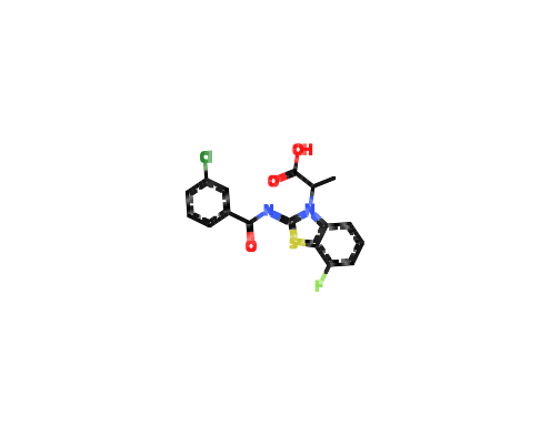 CC(C(=O)O)n1c(=NC(=O)c2cccc(Cl)c2)sc2c(F)cccc21